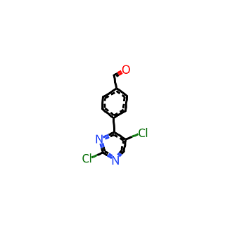 O=Cc1ccc(-c2nc(Cl)ncc2Cl)cc1